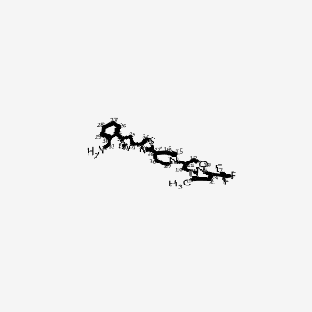 Cc1cc(C(F)(F)F)nn1CC(C=O)N1CCC(c2nc(C3=NOC(c4ccccc4CN)C3)cs2)CC1